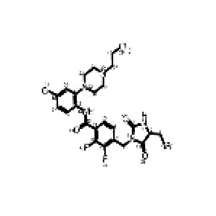 CC(C)CC1NC(=O)N(Cc2ccc(C(=O)Nc3ccc(Cl)cc3N3CCN(CCC(F)(F)F)CC3)c(F)c2F)C1=O